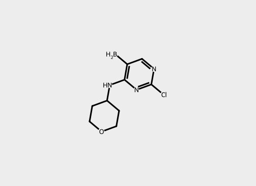 Bc1cnc(Cl)nc1NC1CCOCC1